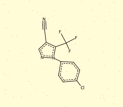 N#Cc1cnn(-c2ccc(Cl)cc2)c1C(F)(F)F